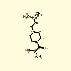 C[C@H](N)C(=O)N1CCN(CCN(C)C)CC1